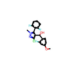 COc1ccc(C(O)c2c(Cl)nn(C)c2-c2c(F)cccc2F)c(F)c1